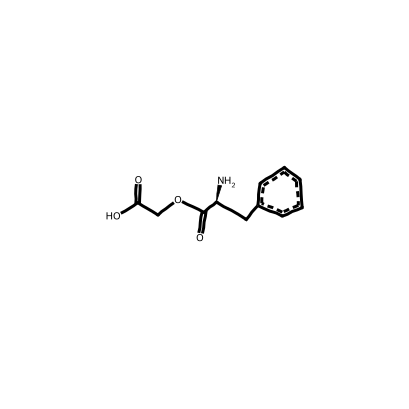 N[C@@H](Cc1ccccc1)C(=O)OCC(=O)O